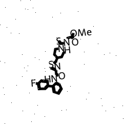 COC(=O)CNC(=S)N1CCC(c2nc(C(=O)Nc3ccccc3-c3ccc(F)cc3)cs2)CC1